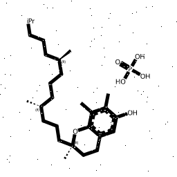 Cc1c(O)cc2c(c1C)O[C@](C)(CCC[C@H](C)CCC[C@H](C)CCCC(C)C)CC2.O=P(O)(O)O